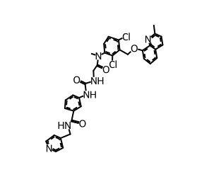 Cc1ccc2cccc(OCc3c(Cl)ccc(N(C)C(=O)CNC(=O)Nc4cccc(C(=O)NCc5ccncc5)c4)c3Cl)c2n1